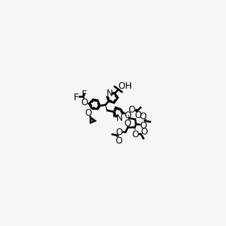 CC(=O)OCC1O[C@H](Oc2ccc(C[C@H](c3ccc(C(C)(C)O)nc3)c3ccc(OC(F)F)c(OC4CC4)c3)cn2)[C@H](OC(C)=O)C(OC(C)=O)[C@@H]1OC(C)=O